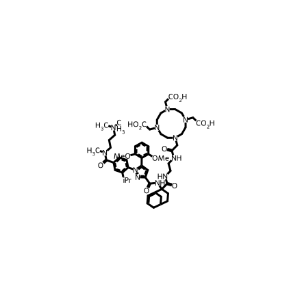 COc1cccc(OC)c1-c1cc(C(=O)NC2(C(=O)NCCNC(=O)CN3CCN(CC(=O)O)CCN(CC(=O)O)CCN(CC(=O)O)CC3)CCC3CC=C=C2C3)nn1-c1ccc(C(=O)N(C)CCCN(C)C)cc1C(C)C